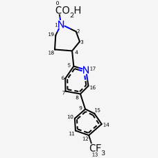 O=C(O)N1CCC(c2ccc(-c3ccc(C(F)(F)F)cc3)cn2)CC1